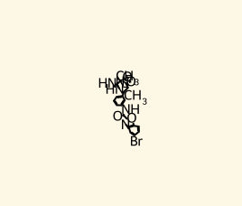 CN1C(=N)N[C@](C)(c2cccc(NC(=O)c3nc4cc(Br)ccc4o3)c2)CS1(=O)=O